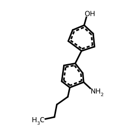 CCCCc1ccc(-c2ccc(O)cc2)cc1N